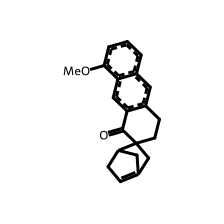 COc1cccc2cc3c(cc12)C(=O)C1(CC3)CC2=CCC1C2